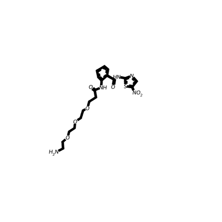 NCCOCCOCCOCCC(=O)Nc1ccccc1C(=O)Nc1ncc([N+](=O)[O-])s1